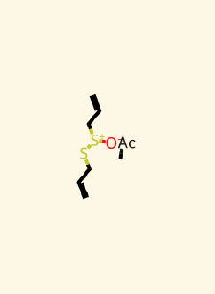 C=CCS[S+]([O-])CC=C.CC(C)=O